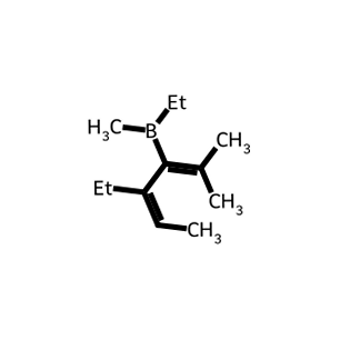 C/C=C(/CC)C(B(C)CC)=C(C)C